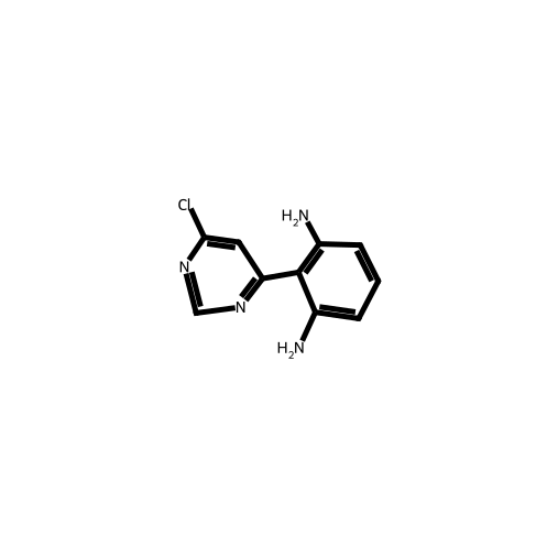 Nc1cccc(N)c1-c1cc(Cl)ncn1